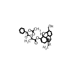 CC(=O)O[C@H](C(=O)O[C@@H](C)C(=O)OC1=CC[C@@]2(O)[C@H]3Cc4ccc(CO)c5c4[C@@]2(CCN3C)[C@H]1O5)c1ccccc1